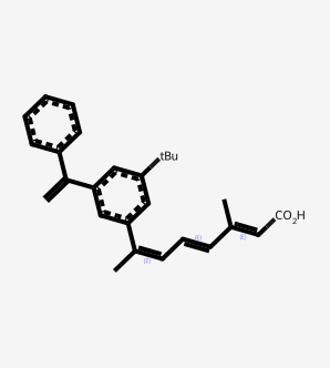 C=C(c1ccccc1)c1cc(\C(C)=C/C=C/C(C)=C/C(=O)O)cc(C(C)(C)C)c1